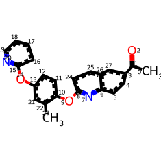 CC(=O)c1ccc2nc(Oc3ccc(Oc4ccccn4)cc3C)ccc2c1